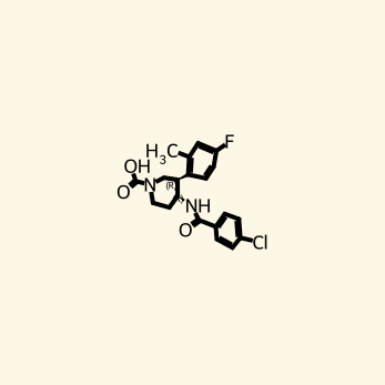 Cc1cc(F)ccc1[C@@H]1CN(C(=O)O)CC[C@H]1NC(=O)c1ccc(Cl)cc1